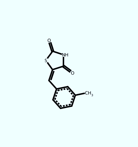 Cc1cccc(C=C2SC(=O)NC2=O)c1